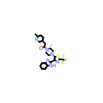 Cc1ccc(CC(=O)N2CCN(c3sc(C(F)(F)F)nc3-c3nc4ccccc4[nH]3)C[C@H]2C)cn1